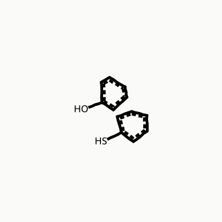 Oc1ccccc1.Sc1ccccc1